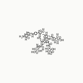 C[C@H](CS)NC(=O)[C@H](CCC(O)NC[C@H](O)[C@@H](O)[C@H](O)C(=O)O)NC(=O)[C@H](CCC(=O)NC[C@H](O)[C@@H](O)[C@H](O)C(=O)O)NC(=O)[C@H](CCC(=O)NC[C@H](O)[C@@H](O)[C@H](O)C(=O)O)NC(=O)CC[C@H](NC(=O)c1ccc(NCc2cnc3nc(N)[nH]c(=O)c3n2)cc1)C(=O)O